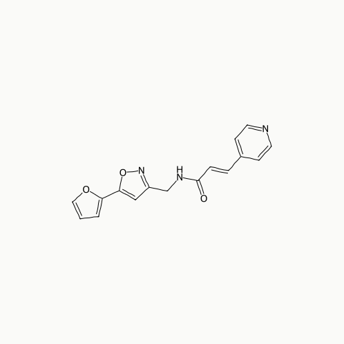 O=C(C=Cc1ccncc1)NCc1cc(-c2ccco2)on1